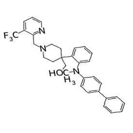 CN(c1ccc(-c2ccccc2)cc1)c1ccccc1C1(CO)CCN(Cc2ncccc2C(F)(F)F)CC1